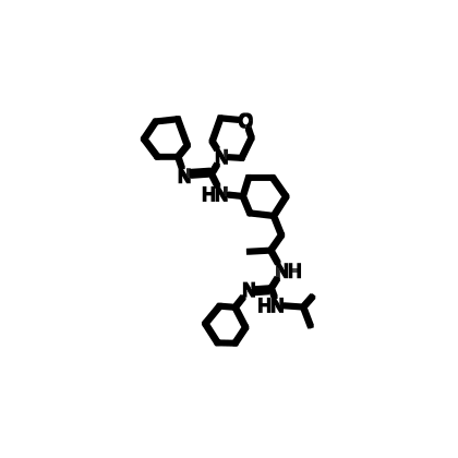 CC(C)N/C(=N\C1CCCCC1)NC(C)CC1CCCC(N/C(=N/C2CCCCC2)N2CCOCC2)C1